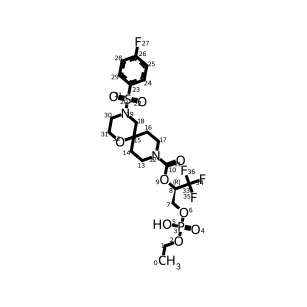 CCOP(=O)(O)OC[C@@H](OC(=O)N1CCC2(CC1)CN(S(=O)(=O)c1ccc(F)cc1)CCO2)C(F)(F)F